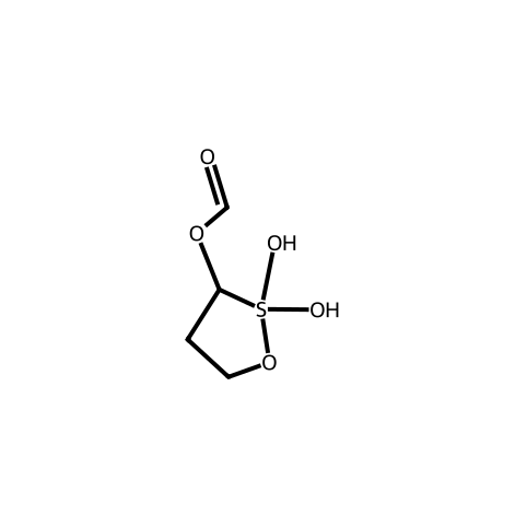 O=COC1CCOS1(O)O